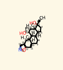 C#C[C@]1(O)CC[C@H]2[C@@H]3CCC4=Cc5oncc5C[C@]4(C)[C@H]3CC[C@@]21C.CCO